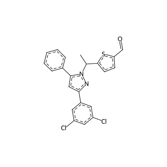 CC(c1ccc(C=O)s1)n1nc(-c2cc(Cl)cc(Cl)c2)cc1-c1ccccc1